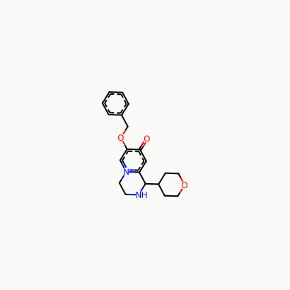 O=c1cc2n(cc1OCc1ccccc1)CCNC2C1CCOCC1